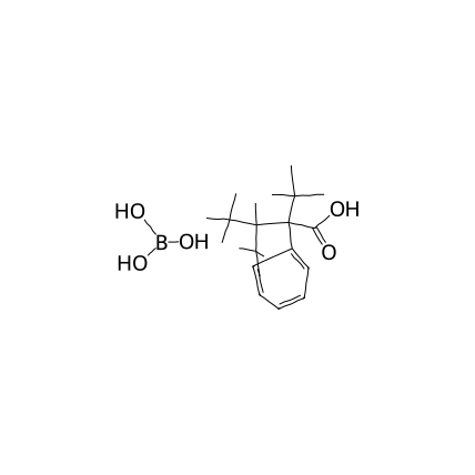 CC(C)(C)C(C(=O)O)(c1ccccc1)C(C)(C(C)(C)C)C(C)(C)C.OB(O)O